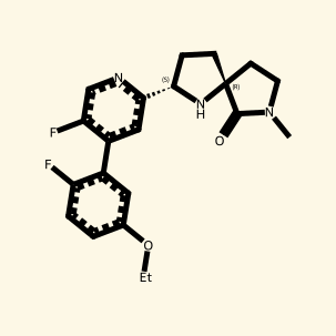 CCOc1ccc(F)c(-c2cc([C@@H]3CC[C@]4(CCN(C)C4=O)N3)ncc2F)c1